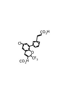 O=C(O)C=Cc1cccc(-c2cc(Cl)cc3c2OC(C(F)(F)F)C(C(=O)O)=C3)c1